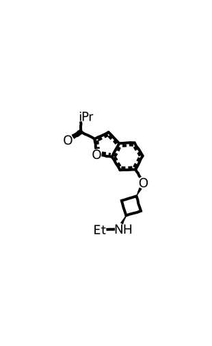 CCN[C@H]1C[C@@H](Oc2ccc3cc(C(=O)C(C)C)oc3c2)C1